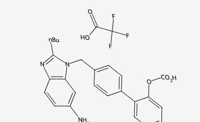 CCCCc1nc2ccc(N)cc2n1Cc1ccc(-c2ccccc2OC(=O)O)cc1.O=C(O)C(F)(F)F